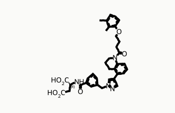 Cc1cccc(OCCCC(=O)N2CCCc3c(-c4cnn(Cc5cccc(C(=O)N[C@H](CC(=O)O)C(=O)O)c5)c4)cccc32)c1C